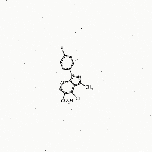 Cc1nn(-c2ccc(F)cc2)c2ncc(C(=O)O)c(Cl)c12